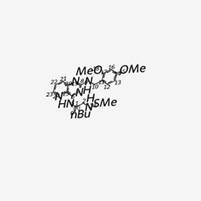 CCCC[C@H](CNSC)Nc1nc(NCc2ccc(OC)cc2OC)nc2cccnc12